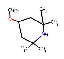 CC1(C)CC(O[C]=O)CC(C)(C)N1